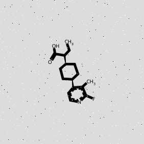 CCC(C(=O)O)[C@H]1CC[C@@H](c2ccnc(F)c2C)CC1